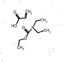 C=CC(=O)O.CCOC(=O)N(CC)CC